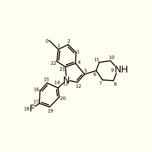 Cc1ccc2c(C3CCNCC3)cn(-c3ccc(F)cc3)c2c1